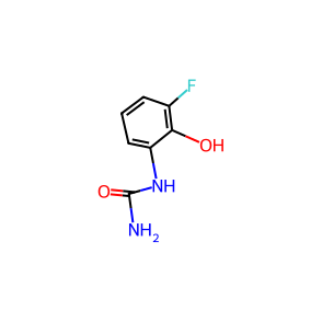 NC(=O)Nc1cccc(F)c1O